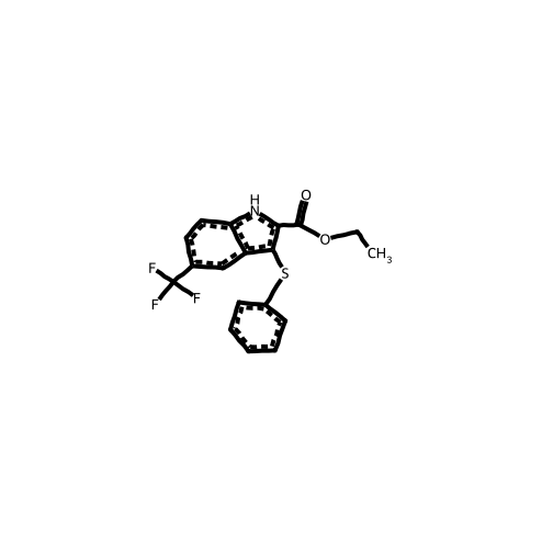 CCOC(=O)c1[nH]c2ccc(C(F)(F)F)cc2c1Sc1ccccc1